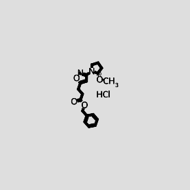 CO[C@H]1CCCN1c1cc(CCC(=O)OCc2ccccc2)on1.Cl